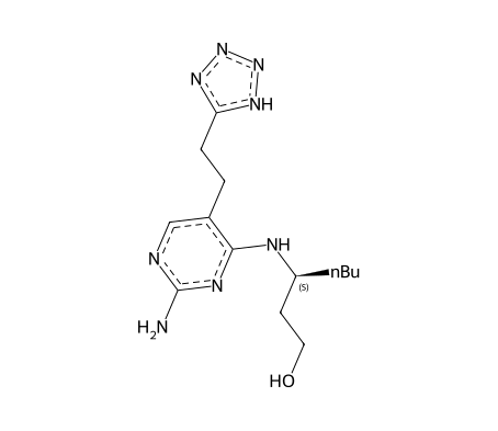 CCCC[C@@H](CCO)Nc1nc(N)ncc1CCc1nnn[nH]1